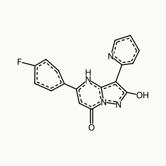 O=c1cc(-c2ccc(F)cc2)[nH]c2c(-c3ccccn3)c(O)nn12